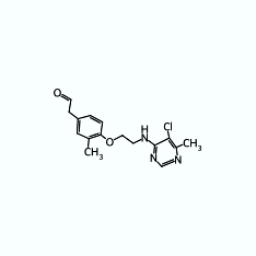 Cc1cc(CC=O)ccc1OCCNc1ncnc(C)c1Cl